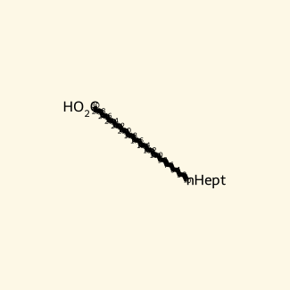 CCCCCCCC=CCCCCC=CCCCCCCCCCCCCCCCCCCCCCC(=O)O